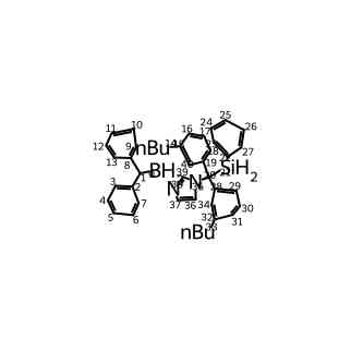 BC(c1ccccc1)c1ccccc1.CCCCc1cccc(C([SiH2]c2ccccc2)(c2cccc(CCCC)c2)n2ccnc2)c1